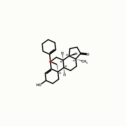 C[C@]12CC[C@@H]3[C@@H](CCC4=CC(O)CC[C@@]43COC3=CCCCC3)[C@@H]1CCC2=O